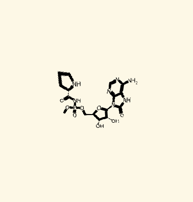 COP(=O)(NC(=O)[C@@H]1CCCN1)OC[C@H]1O[C@@H](n2c(=O)[nH]c3c(N)ncnc32)[C@H](O)[C@@H]1O